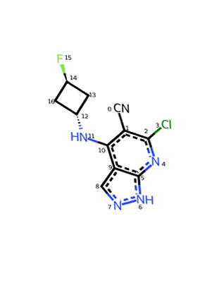 N#Cc1c(Cl)nc2[nH]ncc2c1N[C@H]1C[C@H](F)C1